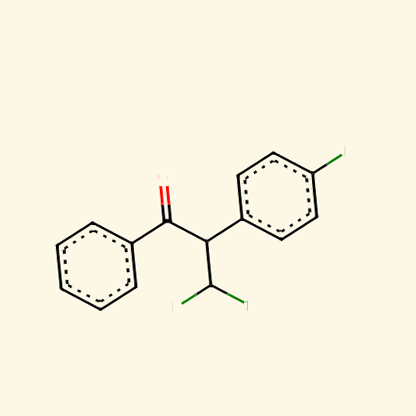 O=C(c1ccccc1)C(c1ccc(F)cc1)C(F)F